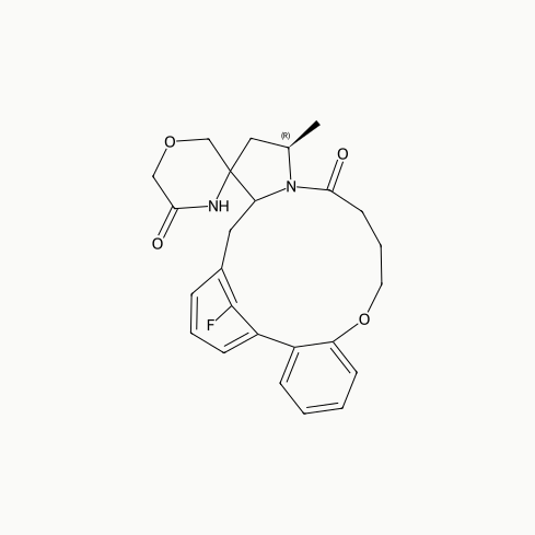 C[C@@H]1CC2(COCC(=O)N2)C2Cc3cccc(c3F)-c3ccccc3OCCCC(=O)N21